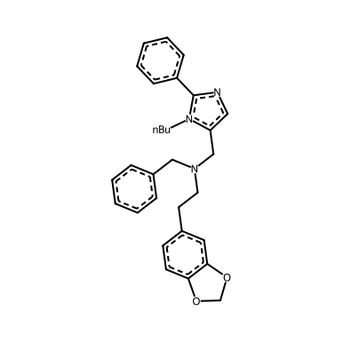 CCCCn1c(CN(CCc2ccc3c(c2)OCO3)Cc2ccccc2)cnc1-c1ccccc1